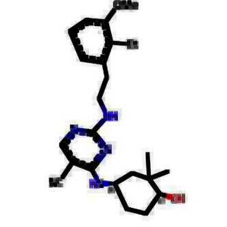 CCc1c(CCNc2ncc(C#N)c(N[C@@H]3CC[C@H](O)C(C)(C)C3)n2)cccc1OC